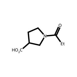 CCC(=O)N1CCC(C(=O)O)C1